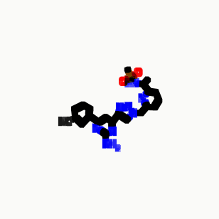 CC(NS(C)(=O)=O)c1cccc(Cn2cc(-c3cc(-c4cccc(C#N)c4)nc(N)n3)nn2)n1